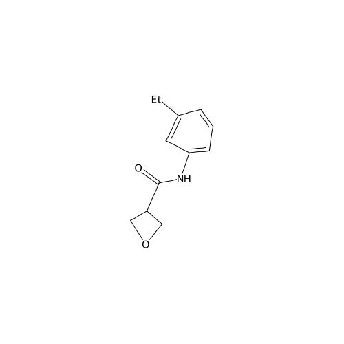 CCc1cccc(NC(=O)C2COC2)c1